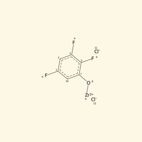 Fc1cc(F)c(F)c([O][Zr+2])c1.[Cl-].[Cl-]